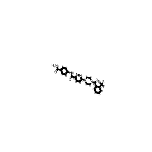 NC(=O)c1ccc(NC(=O)c2ccc(N3CCN(C(=O)c4ccccc4C(F)(F)F)CC3)nn2)cc1